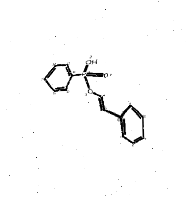 O=P(O)(OC=Cc1ccccc1)c1ccccc1